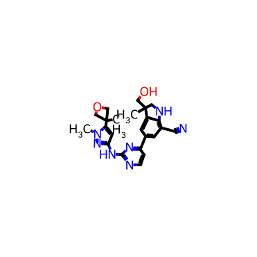 Cn1nc(Nc2nccc(-c3cc(C#N)c4c(c3)C(C)(CO)CN4)n2)cc1C1(C)COC1